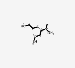 BN(C)[C@@H](CCCO)COS